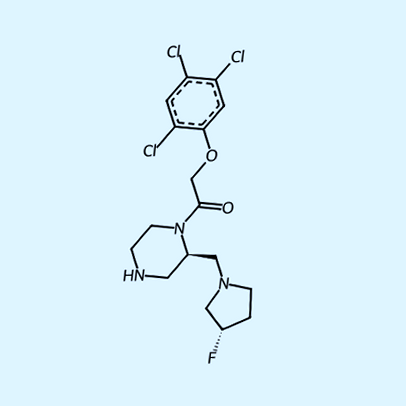 O=C(COc1cc(Cl)c(Cl)cc1Cl)N1CCNC[C@@H]1CN1CC[C@H](F)C1